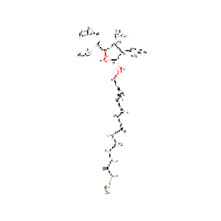 CC(=O)OC[C@@H](OC(C)=O)[C@@H]1O[C@@H](OCC=CCCCCCCCCCBr)[C@H](OC(C)=O)[C@H]1OC(C)=O